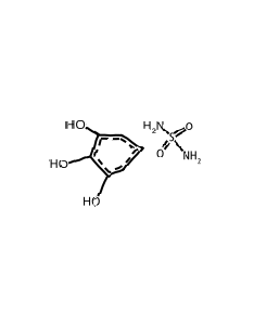 NS(N)(=O)=O.Oc1cccc(O)c1O